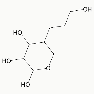 OCCCC1COC(O)C(O)C1O